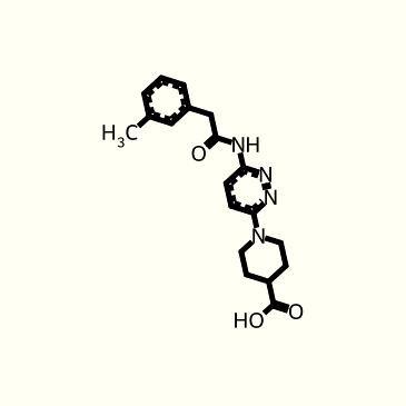 Cc1cccc(CC(=O)Nc2ccc(N3CCC(C(=O)O)CC3)nn2)c1